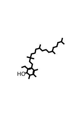 CCC1=C(CCC(C)(C)CCCC(C)CCCC(C)CCCC(C)C)C(C)=C(C)C(C)C1O